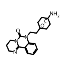 NC12CCC(CCN3C(=O)N4CCCN=C4c4ccccc43)(CC1)OC2